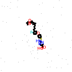 CC(C)(CCCCc1cc(Oc2ccc(SNc3ncc(C(=O)O)cn3)cc2)ccc1F)CC(C)(C)C(=O)OC(C)(C)C